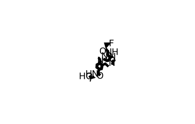 CCc1cc(C(=O)NC[C@@H](C)O)ccc1N(C)c1cc2c(ncn2C)c(NC(=O)[C@H]2C[C@H]2F)n1